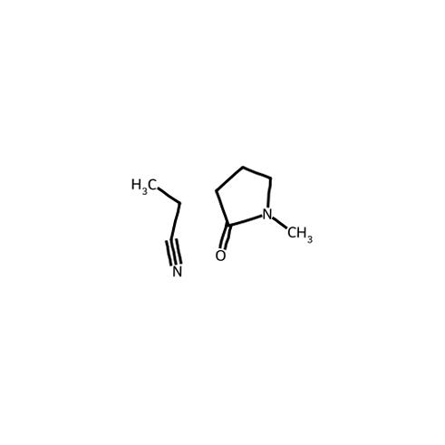 CCC#N.CN1CCCC1=O